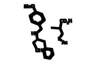 CC(=O)SCC(C)C(=O)O.COc1ccc(CN[C@H](CO)Cc2ccccc2)cc1